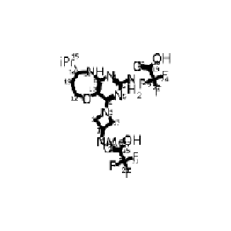 CNC1CN(c2nc(N)nc3c2OCC[C@H](C(C)C)N3)C1.O=C(O)C(F)(F)F.O=C(O)C(F)(F)F